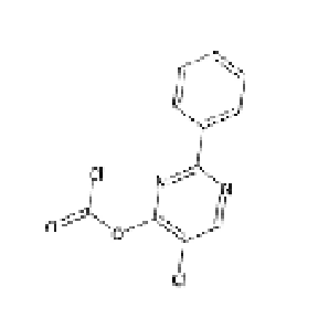 O=C(Cl)Oc1nc(-c2ccccc2)ncc1Cl